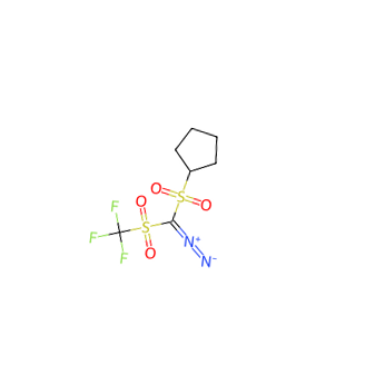 [N-]=[N+]=C(S(=O)(=O)C1CCCC1)S(=O)(=O)C(F)(F)F